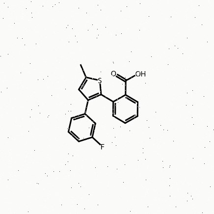 Cc1cc(-c2cccc(F)c2)c(-c2ccccc2C(=O)O)s1